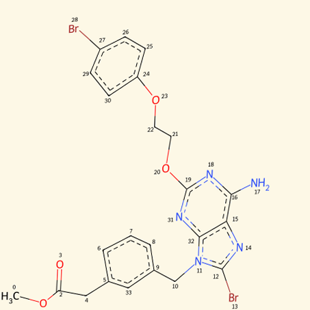 COC(=O)Cc1cccc(Cn2c(Br)nc3c(N)nc(OCCOc4ccc(Br)cc4)nc32)c1